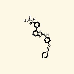 CC(C)(C)NS(=O)(=O)c1cccc(-c2cccc3nc(Nc4ccc(OCCN5CCOCC5)cc4)nn23)c1